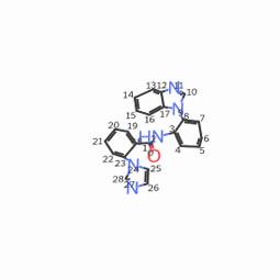 O=C(Nc1ccccc1-n1cnc2ccccc21)c1ccccc1-n1ccnc1